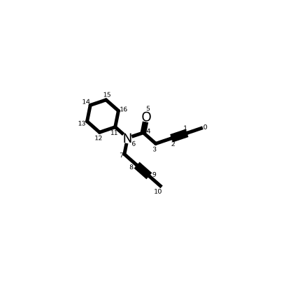 CC#CCC(=O)N(CC#CC)C1CCCCC1